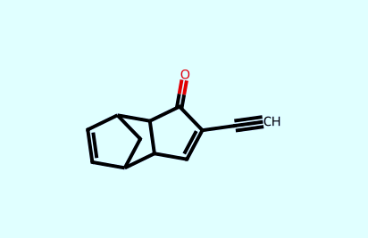 C#CC1=CC2C3C=CC(C3)C2C1=O